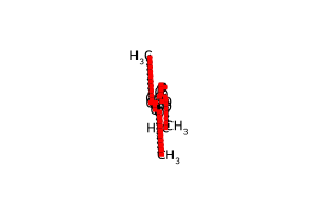 CC(C)CCCCCCCOP1OCC2(CO1)COP(Oc1ccccc1)OC2.CCCCCCCCCCCCCCCCCCOP1OCC2(CO1)COP(OCCCCCCCCCCCCCCCCCC)OC2